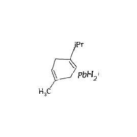 CC1=CCC(C(C)C)=CC1.[PbH2]